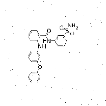 NS(=O)(=O)c1cccc(NC(=O)c2ccccc2Nc2cccc(Oc3ccccc3)c2)c1